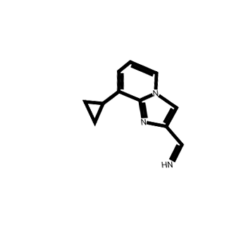 N=Cc1cn2cccc(C3CC3)c2n1